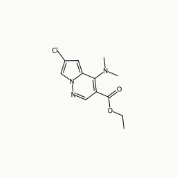 CCOC(=O)c1cnn2cc(Cl)cc2c1N(C)C